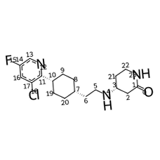 O=C1C[C@H](NCC[C@H]2CC[C@@H](c3ncc(F)cc3Cl)CC2)CCN1